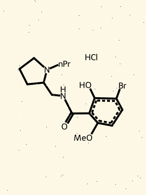 CCCN1CCCC1CNC(=O)c1c(OC)ccc(Br)c1O.Cl